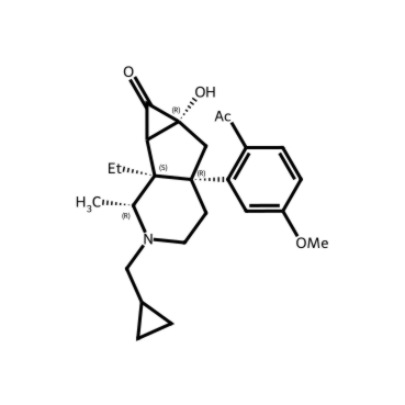 CC[C@]12C3C(=O)[C@@]3(O)C[C@@]1(c1cc(OC)ccc1C(C)=O)CCN(CC1CC1)[C@@H]2C